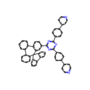 c1ccc2c(c1)-c1ccccc1C1(c3cc(-c4nc(-c5ccc(-c6ccncc6)cc5)nc(-c5ccc(-c6ccncc6)cc5)n4)ccc3-2)c2ccccc2-c2ccccc21